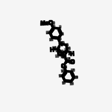 COc1ccc(N2C[C@H]3C[C@@H]2CN3C(=O)Oc2ccccc2)cc1